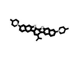 CC1CCN(c2ccc3cc4c(cc3c2)oc2c4cc(C(C)C)c3c4cc5ccc(N6CCC(C)CC6)cc5cc4oc23)CC1